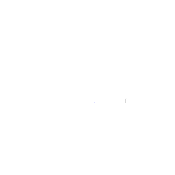 CCCCC(CO)NCCO